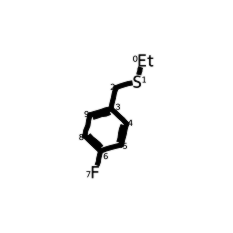 [CH2]CSCc1ccc(F)cc1